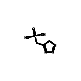 O=P(O)(O)CC1=NN=NC1